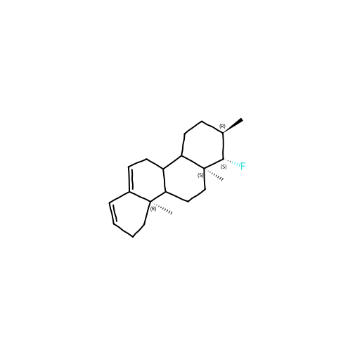 C[C@@H]1CCC2C3CC=C4C=CCC[C@]4(C)C3CC[C@]2(C)[C@H]1F